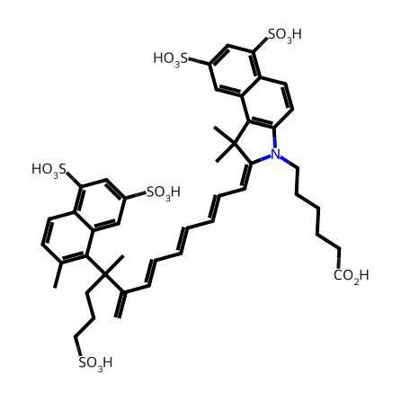 C=C(/C=C/C=C/C=C/C=C1/N(CCCCCC(=O)O)c2ccc3c(S(=O)(=O)O)cc(S(=O)(=O)O)cc3c2C1(C)C)C(C)(CCCS(=O)(=O)O)c1c(C)ccc2c(S(=O)(=O)O)cc(S(=O)(=O)O)cc12